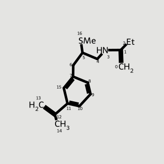 C=C(CC)NCC(Cc1cccc(C(=C)C)c1)SC